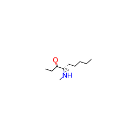 CCCCC[C@H](NC)C(=O)CC